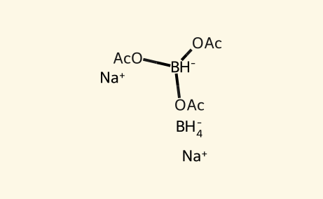 CC(=O)O[BH-](OC(C)=O)OC(C)=O.[BH4-].[Na+].[Na+]